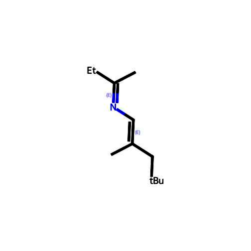 CC/C(C)=N/C=C(\C)CC(C)(C)C